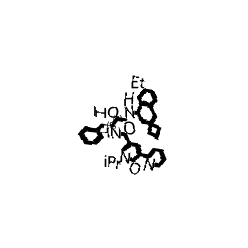 CCc1ccc2c(c1)C(NC[C@@H](O)[C@H](Cc1ccccc1)NC(=O)c1cc(-c3ccccn3)c(=O)n(C(C)C)c1)CC1(CCC1)C2